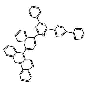 c1ccc(-c2ccc(-c3nc(-c4ccccc4)nc(-c4ccc(-c5c6ccccc6cc6c5ccc5ccccc56)c5ccccc45)n3)cc2)cc1